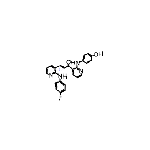 O=C(/C=C/c1cccnc1Nc1ccc(F)cc1)c1cccnc1Nc1ccc(O)cc1